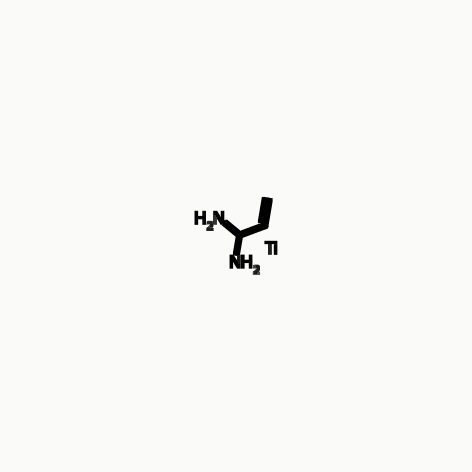 C=CC(N)N.[Ti]